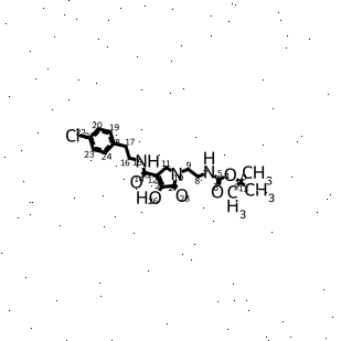 CC(C)(C)OC(=O)NCCN1CC(C(=O)NCCc2ccc(Cl)cc2)=C(O)C1=O